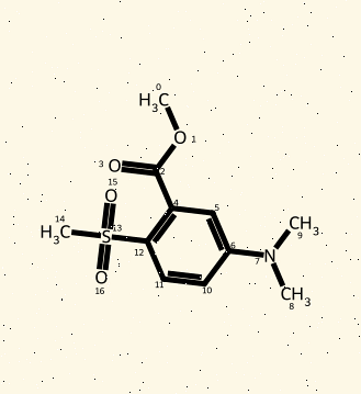 COC(=O)c1cc(N(C)C)ccc1S(C)(=O)=O